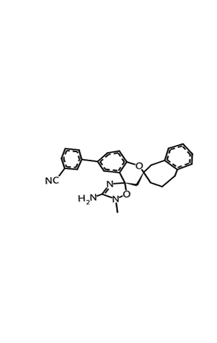 CN1O[C@]2(C[C@@]3(CCCc4ccccc4C3)Oc3ccc(-c4cccc(C#N)c4)cc32)N=C1N